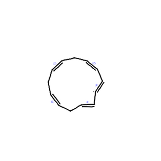 [C]1=C/C=C\C/C=C\C/C=C\C/C=C/1